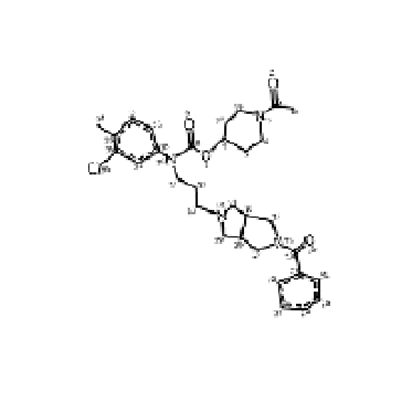 CC(=O)N1CCC(OC(=O)N(CCCN2CC3CN(C(=O)c4ccccc4)CC3C2)c2ccc(C)c(Cl)c2)CC1